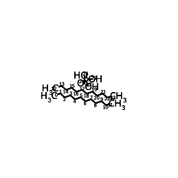 CCCCCCCCCCCC.CCCCCCCCCCCC.O=P(O)(O)O